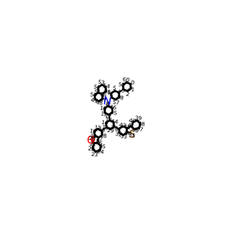 c1ccc(-c2ccc(N(c3ccc(-c4cc(-c5ccc6oc7ccccc7c6c5)cc(-c5ccc6sc7ccccc7c6c5)c4)cc3)c3cccc4ccccc34)cc2)cc1